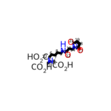 O=C(O)CN(CC(=O)O)C(CCCCNC(=O)CCN1C(=O)C=CC1=O)C(=O)O